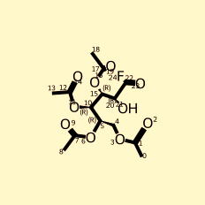 CC(=O)OC[C@@H](OC(C)=O)[C@@H](OC(C)=O)[C@H](OC(C)=O)[C@@H](O)C(=O)F